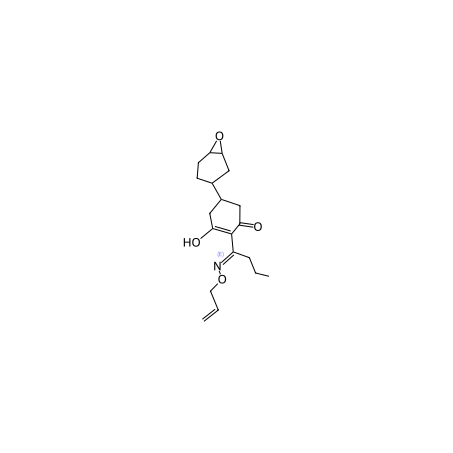 C=CCO/N=C(\CCC)C1=C(O)CC(C2CCC3OC3C2)CC1=O